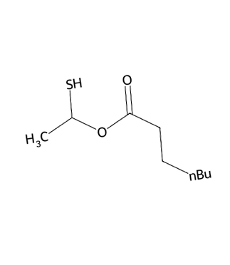 CCCCCCC(=O)OC(C)S